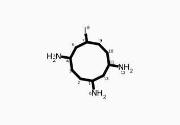 NC1CCC(N)CC(I)CCC(N)C1